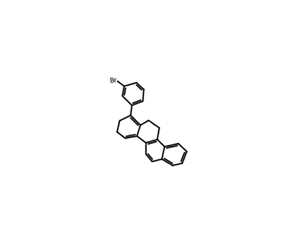 Brc1cccc(C2=C3CCc4c(ccc5ccccc45)C3=CCC2)c1